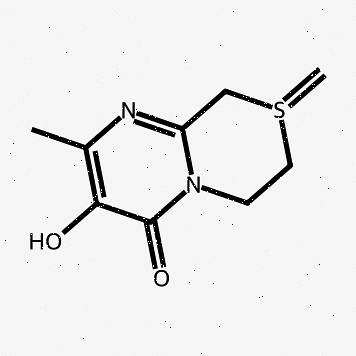 C=S1CCn2c(nc(C)c(O)c2=O)C1